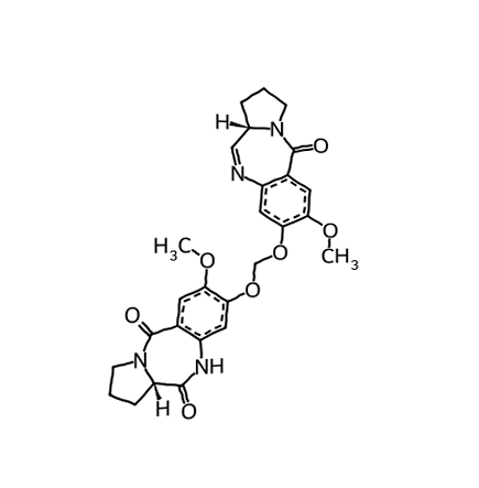 COc1cc2c(cc1OCOc1cc3c(cc1OC)C(=O)N1CCC[C@H]1C(=O)N3)N=C[C@@H]1CCCN1C2=O